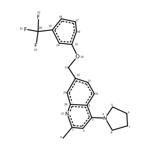 Cc1cc(N2CCCC2)c2ccc(COc3cccc(C(F)(F)F)c3)cc2n1